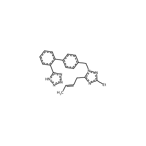 CC=CCc1nc(CC)nn1Cc1ccc(-c2ccccc2-c2nnn[nH]2)cc1